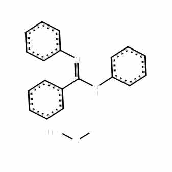 [CH3][InH][CH3].c1ccc(/N=C(/Nc2ccccc2)c2ccccc2)cc1